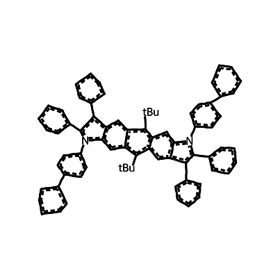 CC(C)(C)c1c2cc3c(-c4ccccc4)c(-c4ccccc4)n(-c4ccc(-c5ccccc5)cc4)c3cc2c(C(C)(C)C)c2cc3c(-c4ccccc4)c(-c4ccccc4)n(-c4ccc(-c5ccccc5)cc4)c3cc12